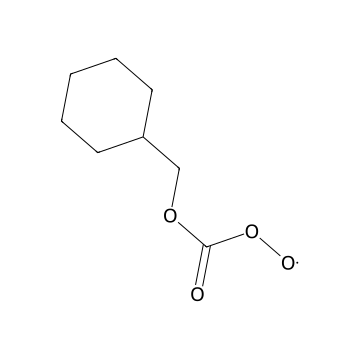 [O]OC(=O)OCC1CCCCC1